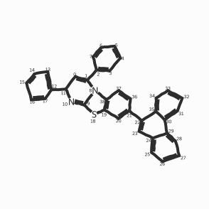 C1=C(c2ccccc2)N2C(=NC1c1ccccc1)Sc1cc(-c3cc4ccccc4c4ccccc34)ccc12